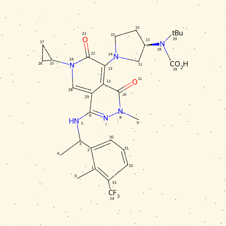 Cc1c(C(C)Nc2nn(C)c(=O)c3c(N4CC[C@@H](N(C(=O)O)C(C)(C)C)C4)c(=O)n(C4CC4)cc23)cccc1C(F)(F)F